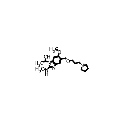 CNc1nc2cc(COCCCN3CCCC3)c(OC)cc2n1C(C)C